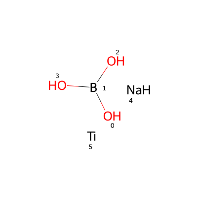 OB(O)O.[NaH].[Ti]